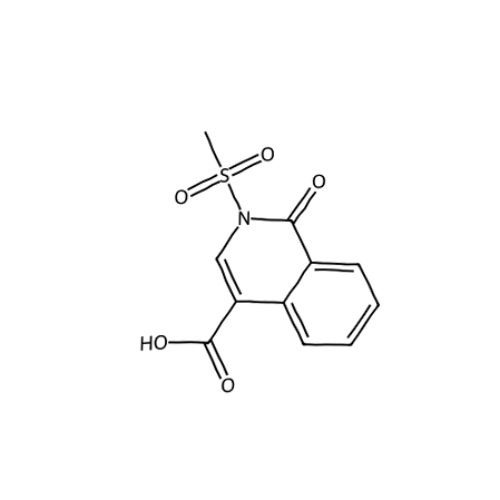 CS(=O)(=O)n1cc(C(=O)O)c2ccccc2c1=O